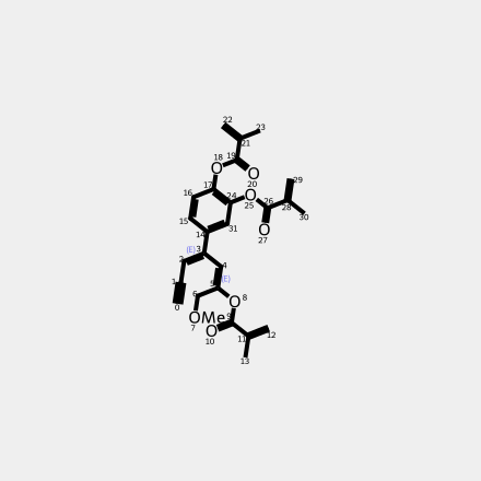 C#C/C=C(\C=C(/COC)OC(=O)C(=C)C)c1ccc(OC(=O)C(=C)C)c(OC(=O)C(=C)C)c1